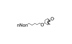 [CH2]CCCCCCCCCCCCCOC1CC2CCC1CC2[O]